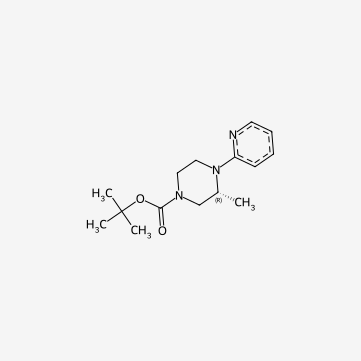 C[C@@H]1CN(C(=O)OC(C)(C)C)CCN1c1ccccn1